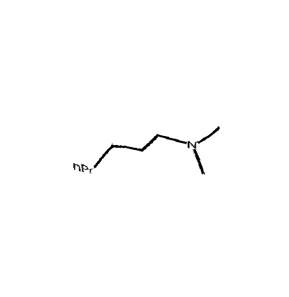 CCC[CH]CCN(C)C